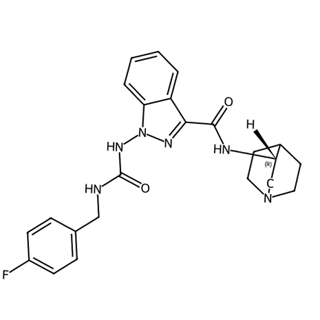 O=C(NCc1ccc(F)cc1)Nn1nc(C(=O)N[C@H]2CN3CCC2CC3)c2ccccc21